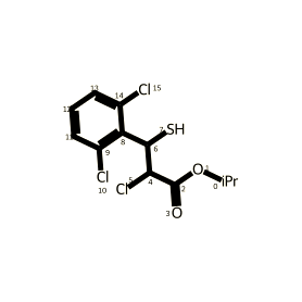 CC(C)OC(=O)C(Cl)C(S)c1c(Cl)cccc1Cl